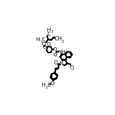 C=CCC(CC)C1(C)OOC2(CCCC(OC(=O)Nc3cc4c(c5ccccc35)C(CCl)CN4C(=O)/C=C/c3ccc(OC)cc3)C2)O1